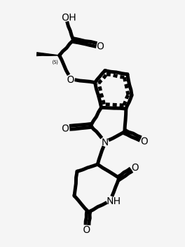 C[C@H](Oc1cccc2c1C(=O)N(C1CCC(=O)NC1=O)C2=O)C(=O)O